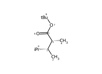 CC(C)[C@@H](C)[C@@H](C)C(=O)OC(C)(C)C